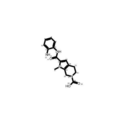 Cn1c(C(=O)Nc2ccccc2N)cc2c1CN(C(=O)O)CC2